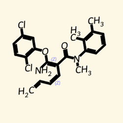 C=C/C=C\C(C(=O)N(C)c1cccc(C)c1C)=C(/N)Oc1cc(Cl)ccc1Cl